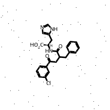 O=C(CC(Cc1ccccc1)C(=O)N[C@H](Cc1cnc[nH]1)C(=O)O)c1cccc(Cl)c1